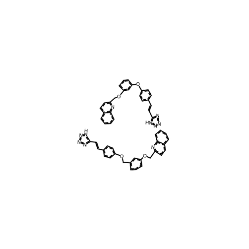 C(=Cc1nnn[nH]1)c1ccc(OCc2cccc(OCc3ccc4ccccc4n3)c2)cc1.C(=Cc1nnn[nH]1)c1ccc(Oc2cccc(OCc3ccc4ccccc4n3)c2)cc1